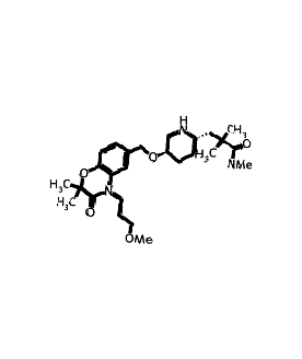 CNC(=O)C(C)(C)C[C@@H]1CC[C@@H](OCc2ccc3c(c2)N(CCCOC)C(=O)C(C)(C)O3)CN1